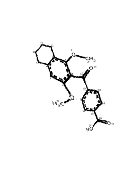 COc1cc2c(c(OC)c1C(=O)c1ccc(C(=O)O)cc1)CCCC2